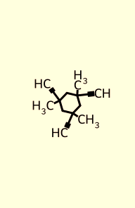 C#CC1(C)CC(C)(C#C)CC(C)(C#C)C1